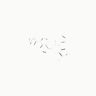 Cc1cc(-c2ccnn2C)c2cccc(OCc3c(Cl)cncc3C(CO)c3nccs3)c2n1